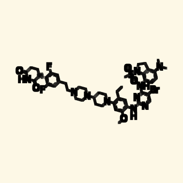 CCc1cc(Nc2ncc(Br)c(Nc3ccc(N(C)C)c4c3N(S(C)(=O)=O)CC4)n2)c(OC)cc1N1CCC(N2CCN(CCc3cc(F)c([C@H]4CCC(=O)NC4=O)c(F)c3)CC2)CC1